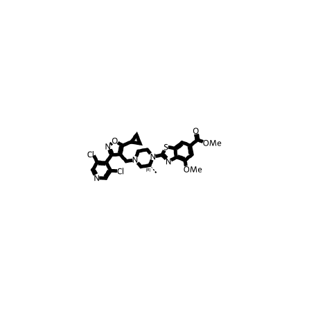 COC(=O)c1cc(OC)c2nc(N3CCN(Cc4c(-c5c(Cl)cncc5Cl)noc4C4CC4)C[C@H]3C)sc2c1